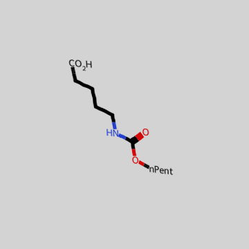 CCCCCOC(=O)NCCCCC(=O)O